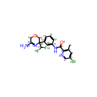 Cc1cc(Br)cnc1C(=O)Nc1cccc(C2(C(F)F)COCC(N)=N2)c1